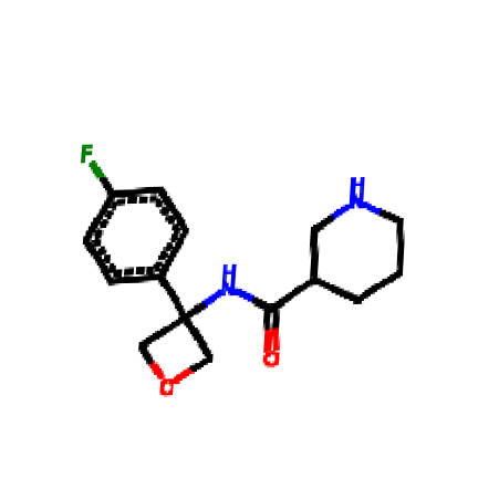 O=C(NC1(c2ccc(F)cc2)COC1)C1CCCNC1